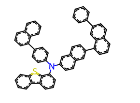 c1ccc(-c2ccc3cccc(-c4ccc5cc(N(c6ccc(-c7cccc8ccccc78)cc6)c6cccc7c6sc6ccccc67)ccc5c4)c3c2)cc1